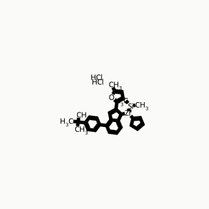 Cc1ccc(C2=Cc3c(-c4ccc(C(C)(C)C)cc4)cccc3[CH]2[Zr]([C]2=CC=CC2)=[Si](C)C)o1.Cl.Cl